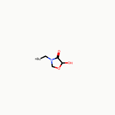 CCCCCN1COC(O)C1=O